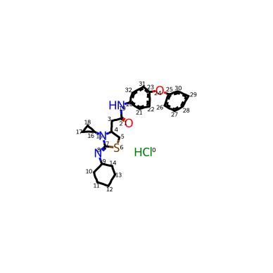 Cl.O=C(CC1CSC(=NC2CCCCC2)N1C1CC1)Nc1ccc(Oc2ccccc2)cc1